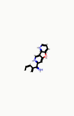 C=C(/C=C\C)C(=N)c1cc2oc3cccnc3c2cn1